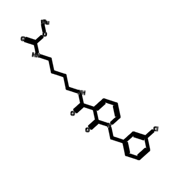 CC(C)(C)OC(=O)NCCCCNC(=O)c1cccn(Cc2cccc(Cl)c2)c1=O